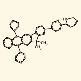 CC1(C)c2cc(-c3ccc(C4=CC=CCN4)nc3)ccc2-c2cc3c(-c4ccccc4)c4ccccc4c(-c4ccccc4)c3cc21